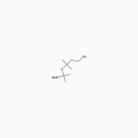 CNC(C)(C)OC(C)(C)CCO